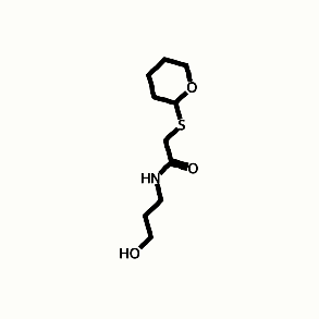 O=C(CSC1CCCCO1)NCCCO